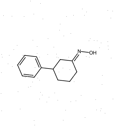 ON=C1CCCC(c2c[c]ccc2)C1